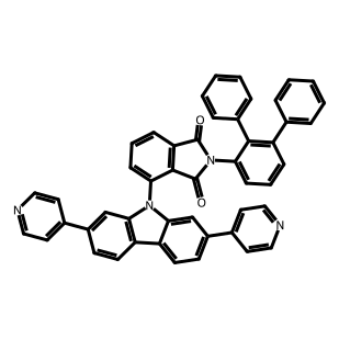 O=C1c2cccc(-n3c4cc(-c5ccncc5)ccc4c4ccc(-c5ccncc5)cc43)c2C(=O)N1c1cccc(-c2ccccc2)c1-c1ccccc1